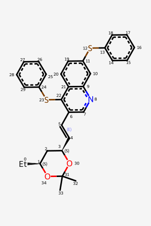 CC[C@H]1C[C@@H](/C=C/c2cnc3cc(Sc4ccccc4)ccc3c2Sc2ccccc2)OC(C)(C)O1